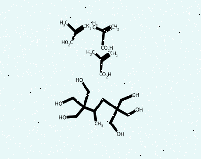 C=C(C)C(=O)O.C=C(C)C(=O)O.C=C(C)C(=O)O.CC(CC(CO)(CO)CO)C(CO)(CO)CO